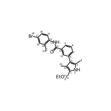 CCOC(=O)c1[nH]c(C)c(-c2cccc(C(=O)Nc3ccc(Br)cc3F)c2)c1C